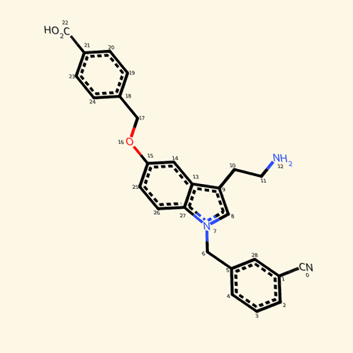 N#Cc1cccc(Cn2cc(CCN)c3cc(OCc4ccc(C(=O)O)cc4)ccc32)c1